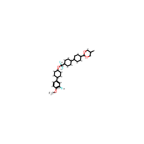 CC1COC(C2CCC(C3CCC(C(F)(F)OC4CCC(c5ccc(OC(F)(F)F)c(F)c5)CC4)CC3)CC2)OC1